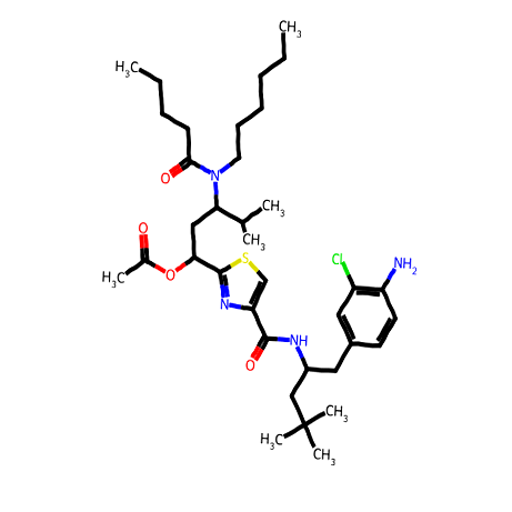 CCCCCCN(C(=O)CCCC)C(CC(OC(C)=O)c1nc(C(=O)NC(Cc2ccc(N)c(Cl)c2)CC(C)(C)C)cs1)C(C)C